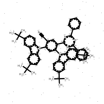 CC(C)(C)c1ccc2c(c1)c1cc(C(C)(C)C)ccc1n2-c1cc(-n2c3ccc(C(C)(C)C)cc3c3cc(C(C)(C)C)ccc32)c(-c2nc(-c3ccccc3)nc(-c3ccccc3)n2)cc1C#N